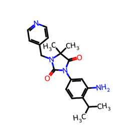 CC(C)c1ccc(N2C(=O)N(Cc3ccncc3)C(C)(C)C2=O)cc1N